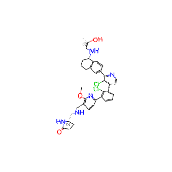 COc1nc(-c2cccc(-c3ccnc(-c4ccc5c(c4)CCCC5NC[C@H](C)O)c3Cl)c2Cl)ccc1CNC[C@@H]1CCC(=O)N1